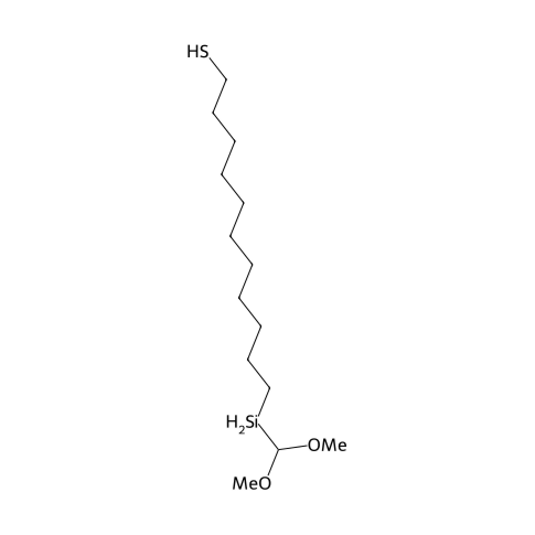 COC(OC)[SiH2]CCCCCCCCCCCS